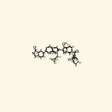 Cc1c(-c2cc3ccc(-c4ccc5c(c4)C(=O)N=C5)nc3n2CC2CC2)nn2cc(C(=O)N3CC4CCC3[C@@H]4N)ccc12